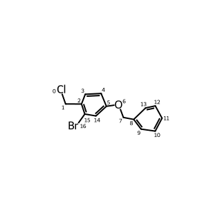 ClCc1ccc(OCc2ccccc2)cc1Br